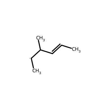 C[CH]C(C)C=CC